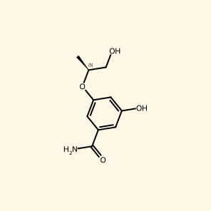 C[C@@H](CO)Oc1cc(O)cc(C(N)=O)c1